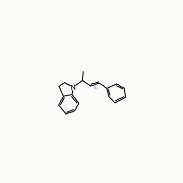 CC(/C=C/c1ccccc1)N1CCc2ccccc21